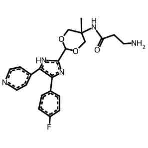 CC1(NC(=O)CCN)COC(c2nc(-c3ccc(F)cc3)c(-c3ccncc3)[nH]2)OC1